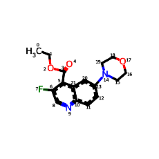 CCOC(=O)c1c(F)cnc2ccc(N3CCOCC3)cc12